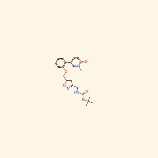 Cn1cc(-c2ccccc2OCC2CC(CNC(=O)OC(C)(C)C)=NO2)ccc1=O